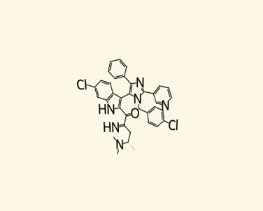 C[C@@H](CC(=N)C(=O)c1[nH]c2cc(Cl)ccc2c1-c1c(-c2ccccc2)nc(-c2cccnc2)n1Cc1ccc(Cl)cc1)N(C)C